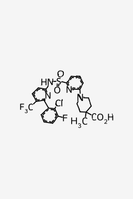 CC1(C(=O)O)CCN(c2cccc(S(=O)(=O)Nc3ccc(C(F)(F)F)c(-c4cccc(F)c4Cl)n3)n2)CC1